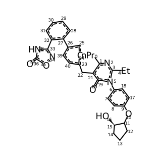 CCCc1nc(CC)n(-c2ccc(OC3CCC[C@H]3O)cc2)c(=O)c1Cc1ccc(-c2ccccc2-c2noc(=O)[nH]2)cc1